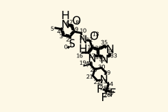 CSc1cc(C)[nH]c(=O)c1CNC(=O)c1c(C)n([C@H](C)C2CCN(CC(F)(F)F)CC2)c2ncncc12